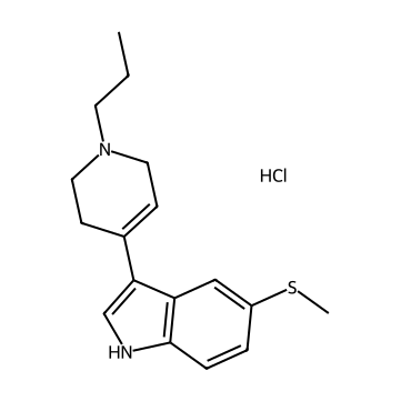 CCCN1CC=C(c2c[nH]c3ccc(SC)cc23)CC1.Cl